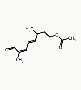 CC(=O)OCCC(C)C=CC=C(C)C=O